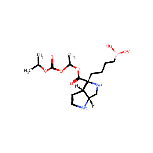 CC(C)OC(=O)OC(C)OC(=O)[C@]1(CCCCB(O)O)NC[C@@H]2NCC[C@@H]21